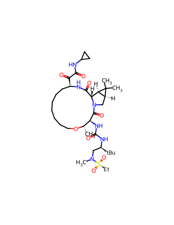 CCS(=O)(=O)N(C)C[C@@H](NC(=O)N[C@@H]1C(=O)N2C[C@H]3[C@@H]([C@H]2C(=O)N[C@H](C(=O)C(=O)NC2CC2)CCCCCCCO[C@H]1C)C3(C)C)C(C)(C)C